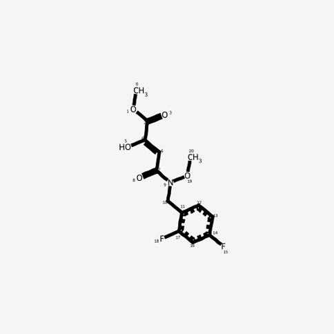 COC(=O)/C(O)=C/C(=O)N(Cc1ccc(F)cc1F)OC